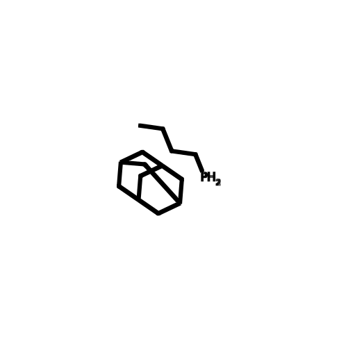 C1C2CC3CC1CC(C2)C3.CCCCP